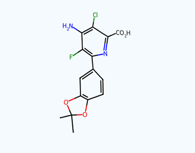 CC1(C)Oc2ccc(-c3nc(C(=O)O)c(Cl)c(N)c3F)cc2O1